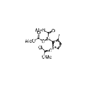 CNC(=O)N(OC(=O)OC)c1sccc1C.COC(=O)Cl